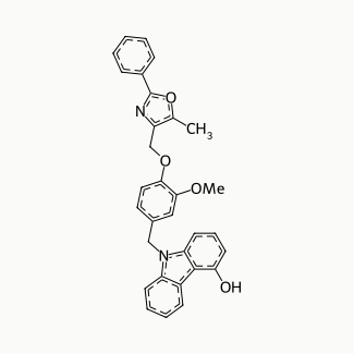 COc1cc(Cn2c3ccccc3c3c(O)cccc32)ccc1OCc1nc(-c2ccccc2)oc1C